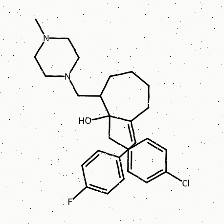 CN1CCN(CC2CCCCC(=Cc3ccc(F)cc3)C2(O)Cc2ccc(Cl)cc2)CC1